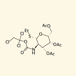 CCS[C@@H]1O[C@H](COC(C)=O)[C@H](OC(C)=O)[C@H](OC(C)=O)[C@H]1NC(=O)OC(Cl)(Cl)CCl